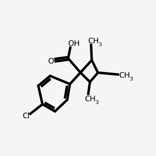 CC1C(C)C(C(=O)O)(c2ccc(Cl)cc2)C1C